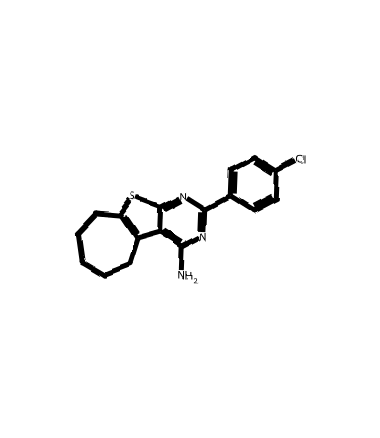 Nc1nc(-c2ccc(Cl)cc2)nc2sc3c(c12)CCCCC3